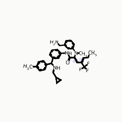 CC/C=C(/C=C(/C(=O)Nc1cccc(C(NCC2CC2)c2ccc(C)cc2)c1)N(C)c1cccc(CN)c1)C(F)(F)F